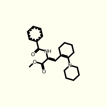 COC(=O)/C(=C/C1=C(N2CCCCC2)CCCC1)NC(=O)c1ccccc1